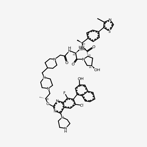 Cc1ncsc1-c1ccc([C@H](C)NC(=O)[C@@H]2C[C@@H](O)CN2C(=O)[C@@H](NC(=O)CN2CCC(CN3CCN(C[C@@H](C)Oc4nc(N5CCNCC5)c5cc(Cl)c(-c6cc(O)cc7ccccc67)c(F)c5n4)CC3)CC2)C(C)(C)C)cc1